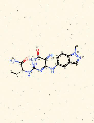 CC[C@@H](NC(=N)/N=C(/Nc1ccc2c(cnn2C)c1)C(=N)C(N)=O)C(N)=O